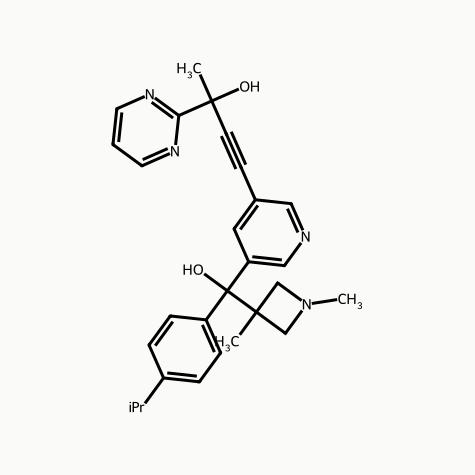 CC(C)c1ccc(C(O)(c2cncc(C#CC(C)(O)c3ncccn3)c2)C2(C)CN(C)C2)cc1